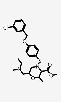 CCN(C)CC1CN(Sc2ccc(OCc3cccc(Cl)c3)cc2)C(C(=O)OC)C(C)O1